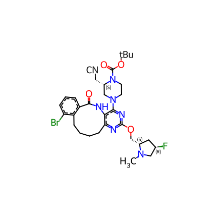 CN1C[C@H](F)C[C@H]1COc1nc2c(c(N3CCN(C(=O)OC(C)(C)C)[C@@H](CC#N)C3)n1)NC(=O)c1cccc(Br)c1CCCC2